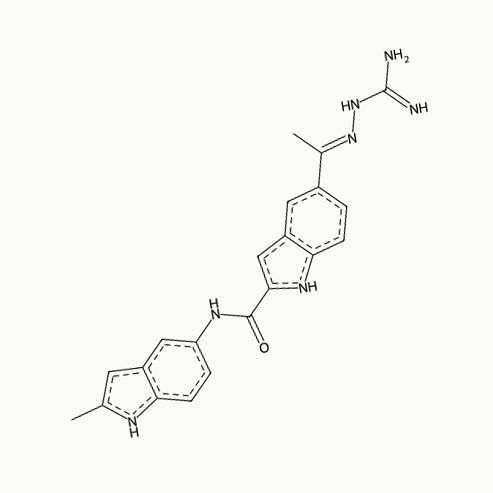 C/C(=N\NC(=N)N)c1ccc2[nH]c(C(=O)Nc3ccc4[nH]c(C)cc4c3)cc2c1